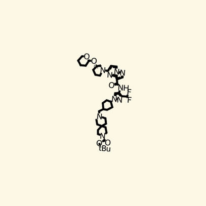 CC(C)(C)OC(=O)N1CCC2(CCN(CC3CCC(n4cc(NC(=O)c5cnn6ccc(N7CCC[C@H](OC8CCCCO8)C7)nc56)c(C(F)F)n4)CC3)CC2)CC1